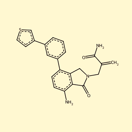 C=C(CN1Cc2c(-c3cccc(-c4ccsc4)c3)ccc(N)c2C1=O)C(N)=O